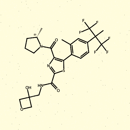 Cc1cc(C(C)(C(F)(F)F)C(F)(F)F)ccc1-c1sc(C(=O)NCC2(O)COC2)nc1C(=O)N1CCC[C@@H]1C